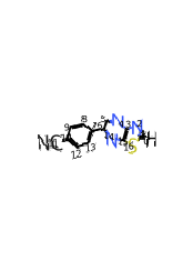 [2H]c1nc2ncc(-c3ccc(C#N)cc3)nc2s1